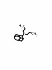 CCCP(CCC)C1C2CC3CC(C2)CC1C3